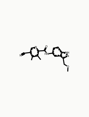 COCc1n[nH]c2ccc(NC(=O)c3ncc(C#N)c(C)c3C)cc12